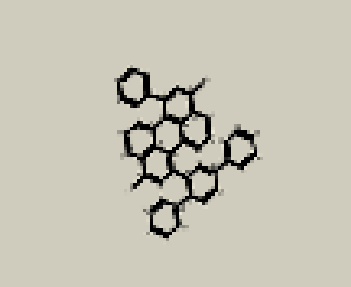 Ic1cc(-c2ccccc2)c2c3cccc4c(I)cc(-c5cc(-c6ccccc6)ccc5-c5ccccc5)c(c5cccc1c52)c43